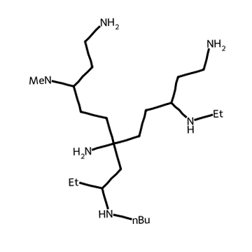 CCCCNC(CC)CC(N)(CCC(CCN)NC)CCC(CCN)NCC